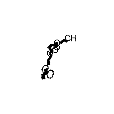 C=CC(=O)OCCCOC(=O)/C=C\C(=O)OCCCO